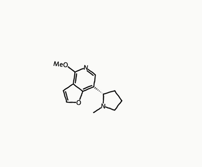 COc1ncc([C@@H]2CCCN2C)c2occc12